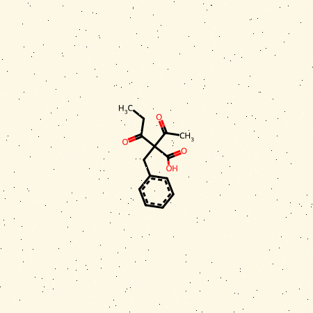 CCC(=O)C(Cc1ccccc1)(C(C)=O)C(=O)O